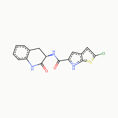 O=C(N[C@@H]1Cc2ccccc2NC1=O)c1cc2cc(Cl)sc2[nH]1